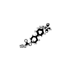 CC(C)(C)C(=O)ON1CCC(c2ccc(NS(C)(=O)=O)cc2)CC1